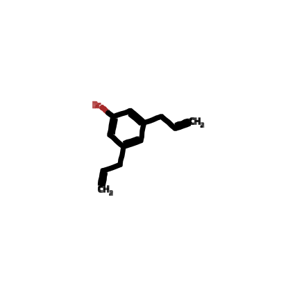 C=CCc1cc(Br)cc(CC=C)c1